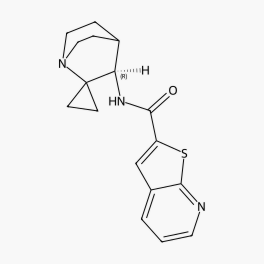 O=C(N[C@@H]1C2CCN(CC2)C12CC2)c1cc2cccnc2s1